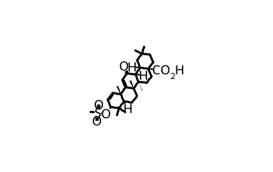 CC1(C)CC[C@]2(C(=O)O)CC[C@]3(C)[C@H](C(=O)C=C4[C@@]5(C)C=C[C@H](OS(C)(=O)=O)C(C)(C)[C@@H]5CC[C@]43C)[C@@H]2C1